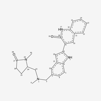 CN(Cc1ccc2[nH]c(-c3cc4ccccc4[nH]c3=O)cc2c1)CC1CCC(=O)N1C